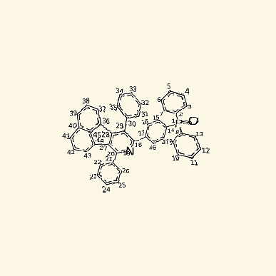 O=P(c1ccccc1)(c1ccccc1)c1ccc(-c2nc(-c3ccccc3)c3c(c2-c2ccccc2)-c2cccc4cccc-3c24)cc1